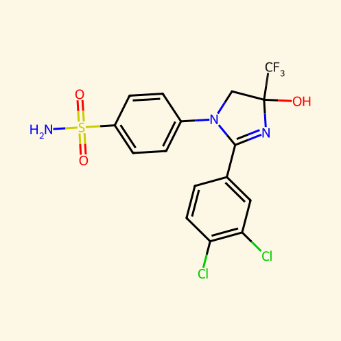 NS(=O)(=O)c1ccc(N2CC(O)(C(F)(F)F)N=C2c2ccc(Cl)c(Cl)c2)cc1